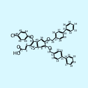 O=C(O)/C=C/c1sc2cc(OCc3ccc(-c4ccccc4)cc3)c(OCc3ccc(-c4ccccc4)cc3)cc2c1Oc1ccc(Cl)cc1